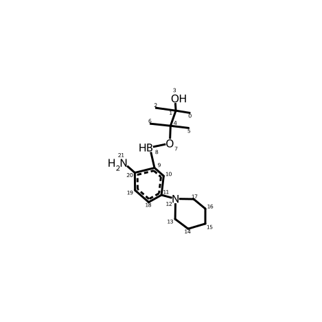 CC(C)(O)C(C)(C)OBc1cc(N2CCCCC2)ccc1N